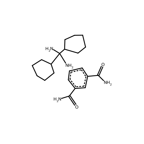 NC(=O)c1cccc(C(N)=O)c1.NC(N)(C1CCCCC1)C1CCCCC1